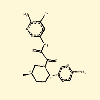 CCc1cc(NC(=O)C(=O)N2C[C@H](C)CC[C@H]2c2ccc(N)nc2)cnc1N